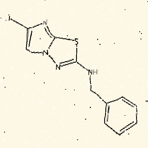 Ic1cn2nc(NCc3ccccc3)sc2n1